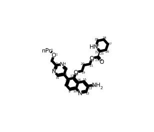 CCCOCc1ncc(-c2ccc3ncc(N)cc3c2OCCCOC(=O)[C@@H]2CCCCN2)cn1